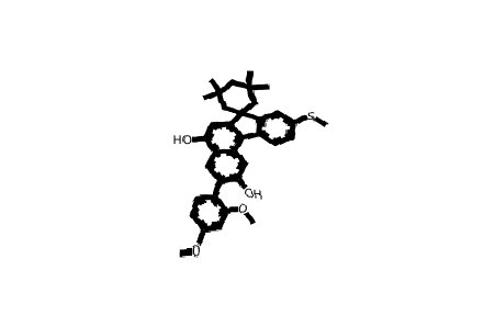 COc1ccc(-c2cc3c(O)cc4c(c3cc2O)-c2ccc(SC)cc2C42CC(C)(C)CC(C)(C)C2)c(OC)c1